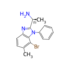 Cc1ccc2nc([C@H](C)N)n(-c3ccccc3)c2c1Br